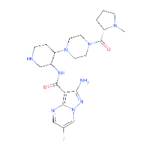 CN1CCC[C@H]1C(=O)N1CCN(C2CCNCC2NC(=O)c2c(N)nn3cc(F)cnc23)CC1